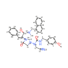 COc1ccc(CNC(=O)N(CC#N)N2CC(=O)N([C@H](C=O)Cc3ccccc3)[C@@H]2CN(C)Cc2cccc3ccccc23)cc1